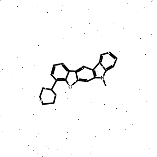 Cn1c2ccccc2c2cc3c(cc21)oc1c(C2CCCCC2)cccc13